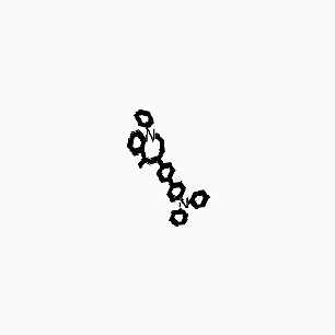 C=C1/C=C(c2ccc(-c3ccc(N(c4ccccc4)c4ccccc4)cc3)cc2)\C=C/CN(c2ccccc2)c2ccccc21